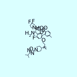 Cc1ccc(S(=O)(=O)O)c(-c2cc(C(N)C(=O)N3CCC(F)(F)C3)c(F)cc2OCC[C@@H](C)C2CCN(c3nc(C(C)C)no3)CC2)c1